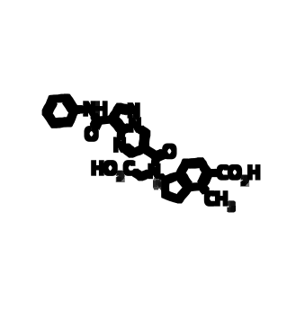 Cc1c(C(=O)O)ccc2c1CC[C@@H]2N(CC(=O)O)C(=O)c1cnc2c(C(=O)Nc3ccccc3)cnn2c1